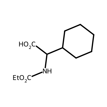 CCOC(=O)NC(C(=O)O)C1CCCCC1